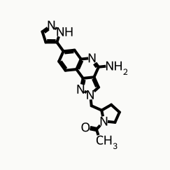 CC(=O)N1CCCC1Cn1cc2c(N)nc3cc(-c4ccn[nH]4)ccc3c2n1